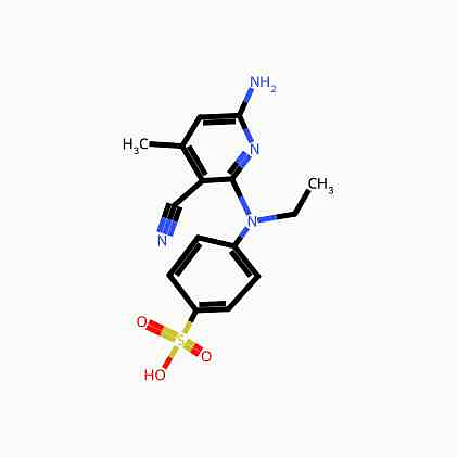 CCN(c1ccc(S(=O)(=O)O)cc1)c1nc(N)cc(C)c1C#N